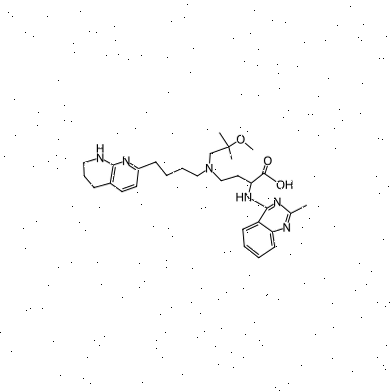 COC(C)(C)CN(CCCCc1ccc2c(n1)NCCC2)CCC(Nc1nc(C)nc2ccccc12)C(=O)O